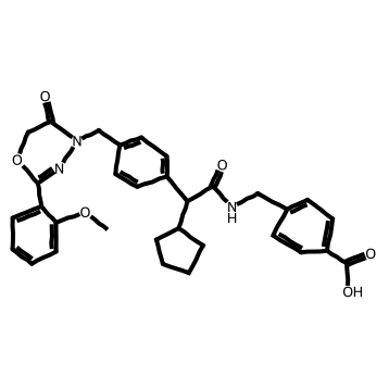 COc1ccccc1C1=NN(Cc2ccc(C(C(=O)NCc3ccc(C(=O)O)cc3)C3CCCC3)cc2)C(=O)CO1